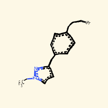 CC(C)Cc1ccc(-c2ccn(C(F)(F)F)n2)cc1